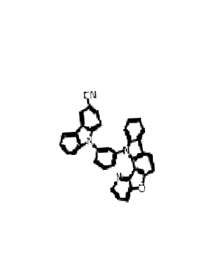 N#Cc1ccc2c(c1)c1ccccc1n2-c1cccc(-n2c3ccccc3c3ccc4oc5cccnc5c4c32)c1